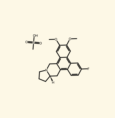 COc1cc2c3c(c4ccc(F)cc4c2cc1OC)C[C@@H]1CCCN1C3.CS(=O)(=O)O